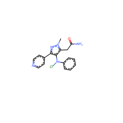 Cn1nc(-c2ccncc2)c(N(Cl)c2ccccc2)c1CC(N)=O